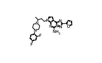 CC(CCn1ccc2c1nc(N)n1nc(-c3ccco3)nc21)N1CCN(c2ccc(F)cc2F)CC1